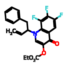 C=CC(Cc1ccccc1)n1cc(OC(=O)OCC)c(=O)c2cc(F)c(F)c(F)c21